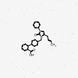 C/C=C/Cc1cn(-c2ccccc2)c(=O)n1Cc1ccc(-c2ccccc2C(=O)O)cc1